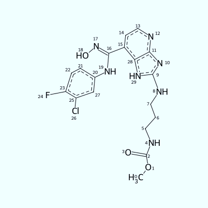 COC(=O)NCCCNc1nc2nccc(/C(=N/O)Nc3ccc(F)c(Cl)c3)c2[nH]1